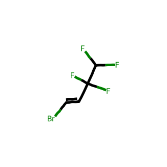 FC(F)C(F)(F)C=CBr